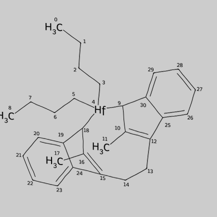 CCC[CH2][Hf]1([CH2]CCC)[CH]2C(C)=C(CCC3=C(C)[CH]1c1ccccc13)c1ccccc12